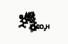 C=C(C)C1CC(=O)C(C)=C(C2CN(Cc3ccccc3C(=O)O)CCN2)C1.Cl.Cl